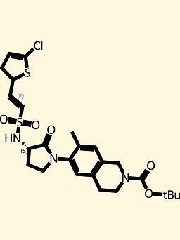 Cc1cc2c(cc1N1CC[C@H](NS(=O)(=O)/C=C/C3CC=C(Cl)S3)C1=O)CCN(C(=O)OC(C)(C)C)C2